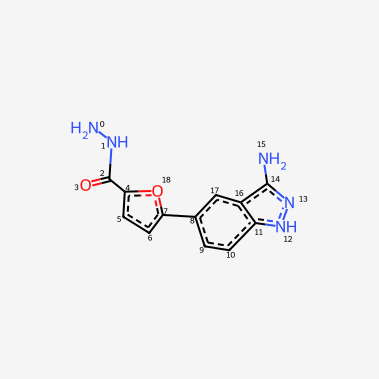 NNC(=O)c1ccc(-c2ccc3[nH]nc(N)c3c2)o1